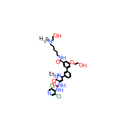 CCn1nc(-c2cccc(-c3cc(OCCO)cc(C(=O)NCCCCCN(C)CCO)c3)c2)cc(NC(=O)Nc2c(Cl)cncc2Cl)c1=O